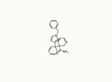 NC(=O)C1(C2(c3ccn(Cc4ccccc4)n3)C=CC=CC2)C=CC=NC1